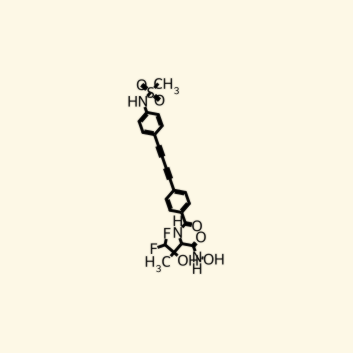 CC(O)(C(F)F)C(NC(=O)c1ccc(C#CC#Cc2ccc(NS(C)(=O)=O)cc2)cc1)C(=O)NO